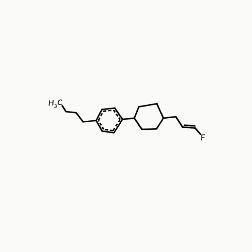 CCCCc1ccc(C2CCC(CC=CF)CC2)cc1